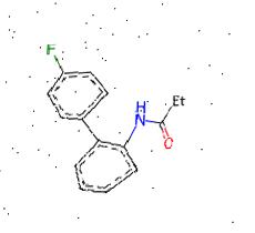 CCC(=O)Nc1ccccc1-c1ccc(F)cc1